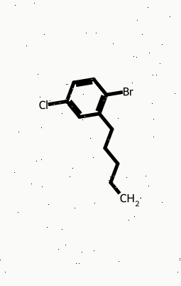 [CH2]CCCCc1cc(Cl)ccc1Br